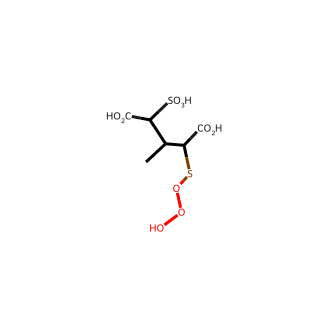 CC(C(SOOO)C(=O)O)C(C(=O)O)S(=O)(=O)O